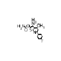 Cc1cc(-c2ccc(F)cc2)nc2sc(OC(N)=O)c(N)c12